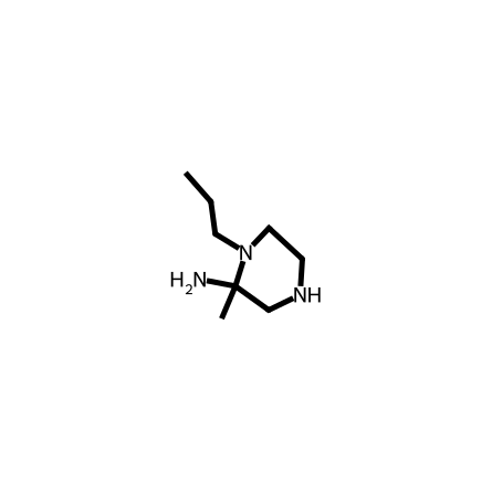 CCCN1CCNCC1(C)N